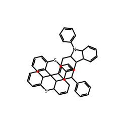 C1=CCC2C(=C1)SC1C=CCC(C3=CC4C5C=CC=CC5N(c5ccccc5)C4CC3)C1C21C2=C(C=CC(c3ccccc3)C2)Sc2ccccc21